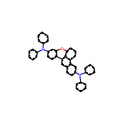 c1ccc(N(c2ccccc2)c2ccc3c(c2)Oc2cccc4c2c-3cc2ccc(N(c3ccccc3)c3ccccc3)cc24)cc1